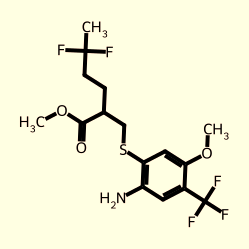 COC(=O)C(CCC(C)(F)F)CSc1cc(OC)c(C(F)(F)F)cc1N